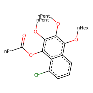 CCCCCCOc1c(OCCCCC)c(OCCCCC)c(OC(=O)CCC)c2c(Cl)cccc12